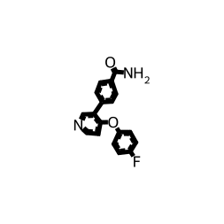 NC(=O)c1ccc(-c2cnccc2Oc2ccc(F)cc2)cc1